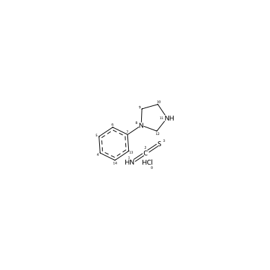 Cl.N=C=S.c1ccc(N2CCNC2)cc1